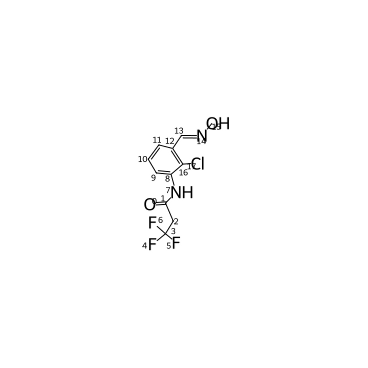 O=C(CC(F)(F)F)Nc1cccc(C=NO)c1Cl